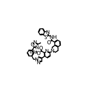 Cc1noc(-c2cccc(Cn3cc(-c4ccc(N5CCc6cccc(C(=O)Nc7nc8ccccc8s7)c6C5)nc4C(=O)OC(C)(C)C)cn3)c2)n1